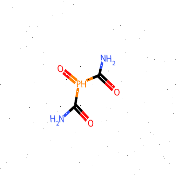 NC(=O)[PH](=O)C(N)=O